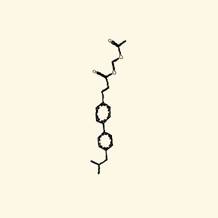 CC(=O)OCOC(=O)CCc1ccc(-c2ccc(CC(C)C)cc2)cc1